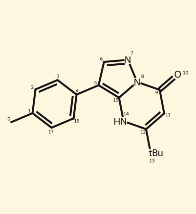 Cc1ccc(-c2cnn3c(=O)cc(C(C)(C)C)[nH]c23)cc1